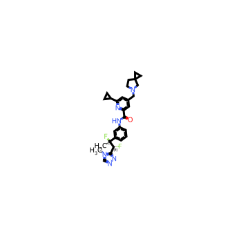 Cn1cnnc1[C@@H](F)[C@@](C)(F)c1cccc(NC(=O)c2cc(CN3CCC4(CC4)C3)cc(C3CC3)n2)c1